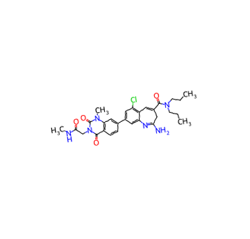 CCCN(CCC)C(=O)C1=Cc2c(Cl)cc(-c3ccc4c(=O)n(CC(=O)NC)c(=O)n(C)c4c3)cc2N=C(N)C1